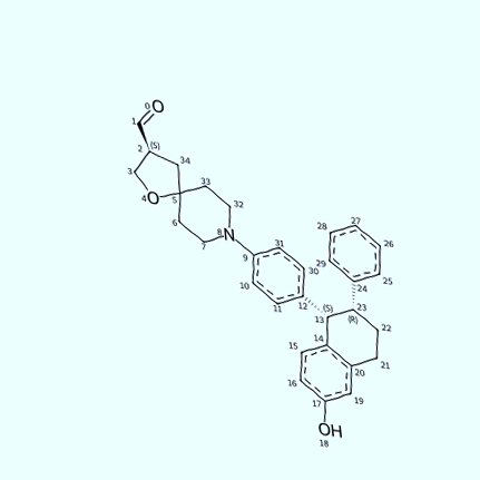 O=C[C@@H]1COC2(CCN(c3ccc([C@H]4c5ccc(O)cc5CC[C@H]4c4ccccc4)cc3)CC2)C1